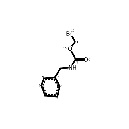 O=C(NCc1ccccc1)OCBr